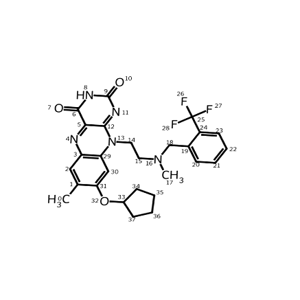 Cc1cc2nc3c(=O)[nH]c(=O)nc-3n(CCN(C)Cc3ccccc3C(F)(F)F)c2cc1OC1CCCC1